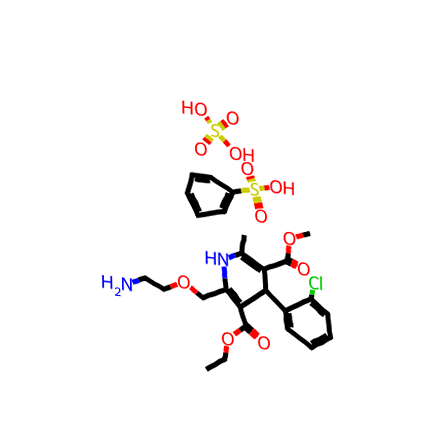 CCOC(=O)C1=C(COCCN)NC(C)=C(C(=O)OC)C1c1ccccc1Cl.O=S(=O)(O)O.O=S(=O)(O)c1ccccc1